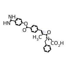 C/C(=C\c1ccc(C(=O)Oc2ccc(C(=N)N)cc2)cc1)C(=O)N(CC(=O)O)Cc1ccccc1